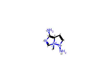 C[N+]12C=NC(N)=C1C=CN2N